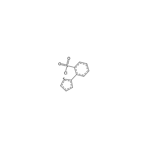 O=S(=O)(Cl)c1ccccc1-c1cccs1